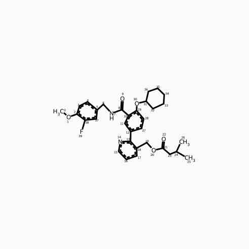 COc1ccc(CNC(=O)c2cc(-c3ncccc3COC(=O)CC(C)C)ccc2OC2CCCCC2)cc1F